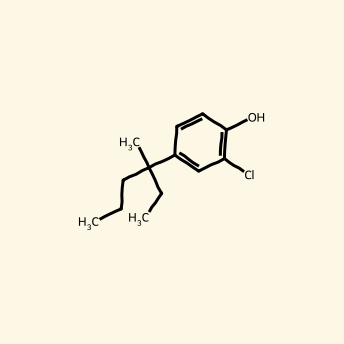 CCCC(C)(CC)c1ccc(O)c(Cl)c1